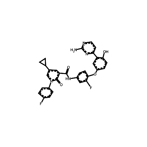 Nc1nccc(-c2cc(Oc3ccc(NC(=O)c4cc(C5CC5)cn(-c5ccc(F)cc5)c4=O)cc3F)ccc2O)n1